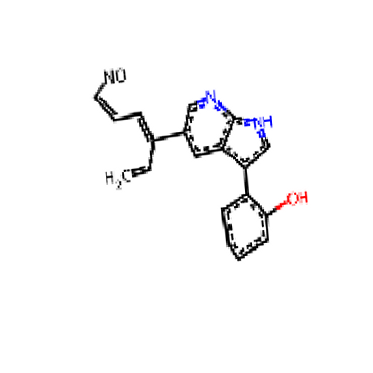 C=C/C(=C\C=C/N=O)c1cnc2[nH]cc(-c3ccccc3O)c2c1